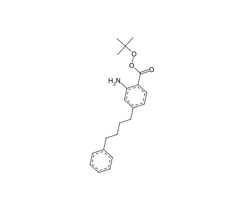 CC(C)(C)OOC(=O)c1ccc(CCCCc2ccccc2)cc1N